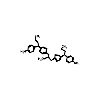 CCCC(c1ccc(N)cc1)c1ccc(CC(CC)Cc2ccc(C(CCC)c3ccc(N)cc3)cc2)cc1